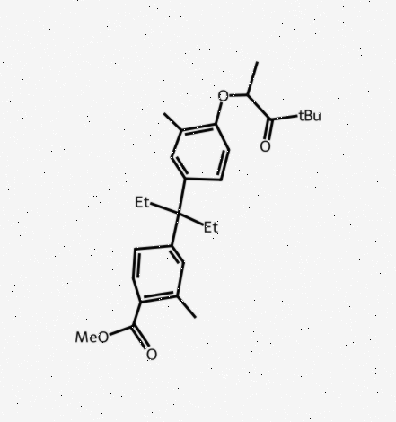 CCC(CC)(c1ccc(OC(C)C(=O)C(C)(C)C)c(C)c1)c1ccc(C(=O)OC)c(C)c1